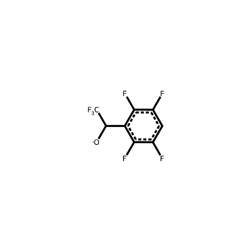 [O]C(c1c(F)c(F)cc(F)c1F)C(F)(F)F